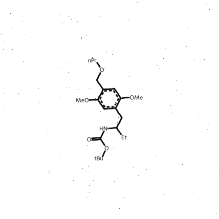 CCCOCc1cc(OC)c(CC(CC)NC(=O)OC(C)(C)C)cc1OC